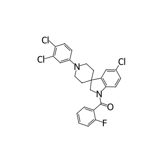 O=C(c1ccccc1F)N1CC2(CCN(c3ccc(Cl)c(Cl)c3)CC2)c2cc(Cl)ccc21